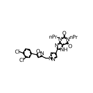 CCCn1c(=O)c2[nH]c(-c3cnn(Cc4cc(-c5ccc(Cl)c(Cl)c5)on4)c3)nc2n(CCC)c1=O